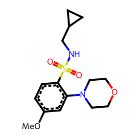 COc1ccc(S(=O)(=O)NCC2CC2)c(N2CCOCC2)c1